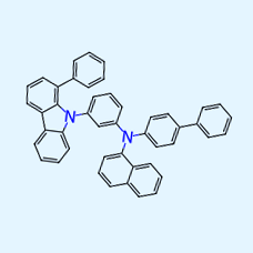 c1ccc(-c2ccc(N(c3cccc(-n4c5ccccc5c5cccc(-c6ccccc6)c54)c3)c3cccc4ccccc34)cc2)cc1